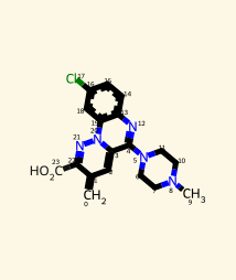 C=C1C=C2C(N3CCN(C)CC3)=Nc3ccc(Cl)cc3N2N=C1C(=O)O